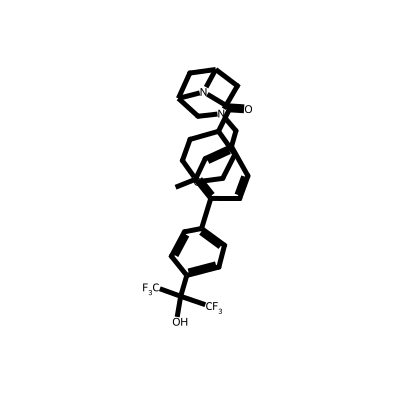 Cc1cc(CN2CC3CC(C2)N3C(=O)C2CCOCC2)ccc1-c1ccc(C(O)(C(F)(F)F)C(F)(F)F)cc1